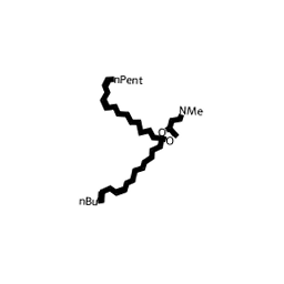 CCCC/C=C/C/C=C\CCCCCCCCC1(CCCCCCCC/C=C\C/C=C\CCCCC)OCC(CCNC)O1